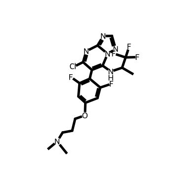 CC(Nc1c(-c2c(F)cc(OCCCN(C)C)cc2F)c(Cl)nc2ncnn12)C(F)(F)F